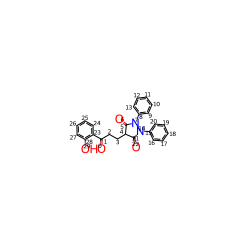 O=C(CCC1C(=O)N(c2ccccc2)N(c2ccccc2)C1=O)c1ccccc1O